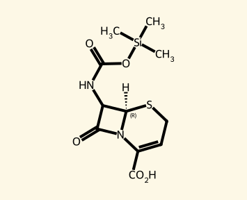 C[Si](C)(C)OC(=O)NC1C(=O)N2C(C(=O)O)=CCS[C@H]12